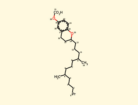 CC(C)CCCC(C)CCCC(C)CCCC1CCc2cc(OC(=O)O)ccc2O1